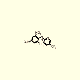 O=[N+]([O-])c1cc([N+](=O)[O-])c(Nc2ccc(C(F)(F)F)cn2)c(C(F)(F)F)c1